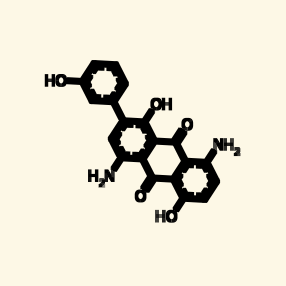 Nc1ccc(O)c2c1C(=O)c1c(O)c(-c3cccc(O)c3)cc(N)c1C2=O